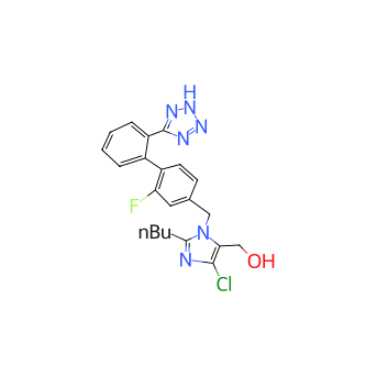 CCCCc1nc(Cl)c(CO)n1Cc1ccc(-c2ccccc2-c2nn[nH]n2)c(F)c1